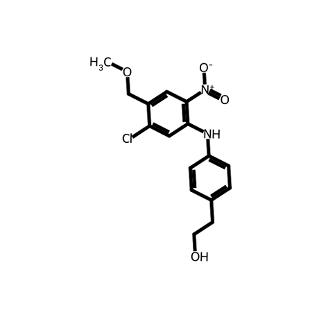 COCc1cc([N+](=O)[O-])c(Nc2ccc(CCO)cc2)cc1Cl